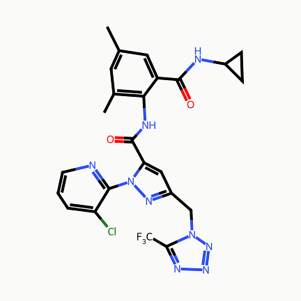 Cc1cc(C)c(NC(=O)c2cc(Cn3nnnc3C(F)(F)F)nn2-c2ncccc2Cl)c(C(=O)NC2CC2)c1